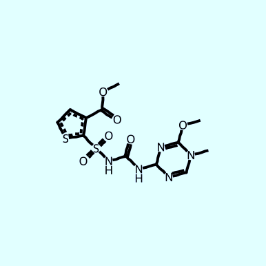 COC(=O)c1ccsc1S(=O)(=O)NC(=O)NC1N=CN(C)C(OC)=N1